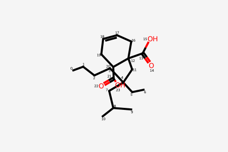 CCCCC(CC)(CC(C)C)CC1(C(=O)O)CC=CCC1C(=O)O